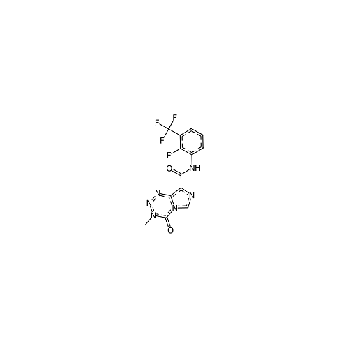 Cn1nnc2c(C(=O)Nc3cccc(C(F)(F)F)c3F)ncn2c1=O